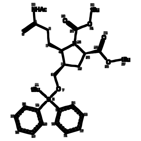 C=C(CC[C@@H]1[C@H](CO[Si](c2ccccc2)(c2ccccc2)C(C)(C)C)C[C@H](C(=O)OC(C)(C)C)N1C(=O)OC(C)(C)C)NC(C)=O